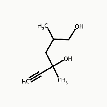 C#CC(C)(O)CC(C)CO